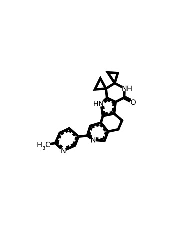 Cc1ccc(-c2cc3c(cn2)CCc2c-3[nH]c3c2C(=O)NC2(CC2)C32CC2)cn1